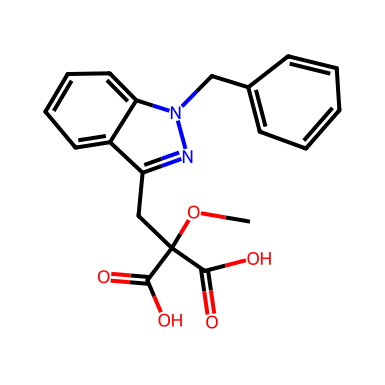 COC(Cc1nn(Cc2ccccc2)c2ccccc12)(C(=O)O)C(=O)O